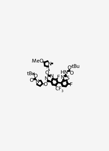 CO[C@@H]1C[C@@H](COc2nc(O[C@@H]3CCN(C(=O)OC(C)(C)C)C3)c3cc(C(F)(F)F)c(-c4ccc(F)c5sc(NC(=O)OC(C)(C)C)nc45)c(F)c3n2)N(C)C1